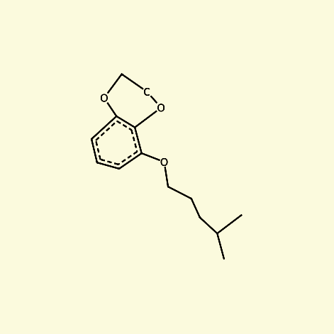 CC(C)CCCOc1cccc2c1OCCO2